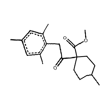 COC(=O)C1(C(=O)Cc2c(C)cc(C)cc2C)CCC(C)CC1